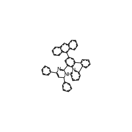 C1=C(c2ccccc2)N=C(c2cc(-c3ccccc3-c3ccccn3)cc(-c3c4ccccc4cc4ccccc34)c2)NC1c1ccccc1